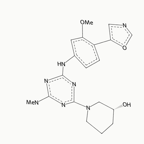 CNc1nc(Nc2ccc(-c3cnco3)c(OC)c2)nc(N2CCC[C@@H](O)C2)n1